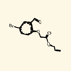 C=CCOC(=O)COc1ccc(Br)cc1C=O